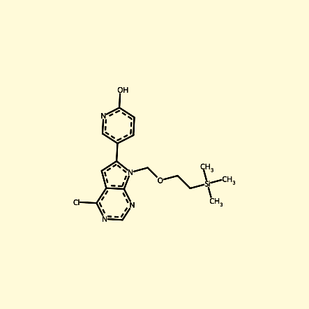 C[Si](C)(C)CCOCn1c(-c2ccc(O)nc2)cc2c(Cl)ncnc21